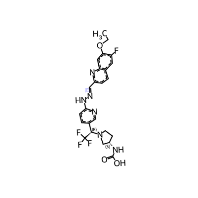 CCOc1cc2nc(/C=N/Nc3ccc([C@@H](N4CC[C@H](NC(=O)O)C4)C(F)(F)F)cn3)ccc2cc1F